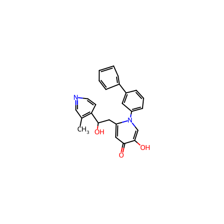 Cc1cnccc1C(O)Cc1cc(=O)c(O)cn1-c1cccc(-c2ccccc2)c1